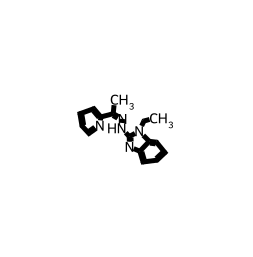 CCn1c(NN=C(C)c2ccccn2)nc2ccccc21